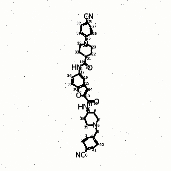 N#Cc1ccc(CN2CCC(NC(=O)c3cc4cc(NC(=O)C5CCN(c6ccc(C#N)cc6)CC5)ccc4o3)CC2)cc1